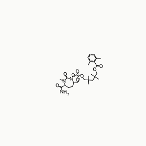 CC[C@H]1CC[C@@H](C(N)=O)N(C)C(=O)N1OS(=O)(=O)OCC(C)(C)CC(C)(C)COC(=O)c1c(C)cccc1C